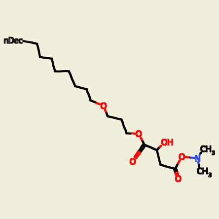 CCCCCCCCCCCCCCCCCCOCCCOC(=O)C(O)CC(=O)ON(C)C